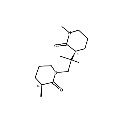 C[C@H]1CCCN(CC(C)(C)[C@@H]2CCCN(C)C2=O)C1=O